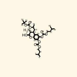 CC(C)CCOC(=O)Oc1ccc(C(CC(C)OC(=O)OC(C)(C)C)[C@H](N)C(=O)O)cc1OC(=O)OCCC(C)C